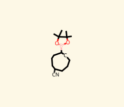 CC1(C)OB(C2CCCCC(C#N)CCC2)OC1(C)C